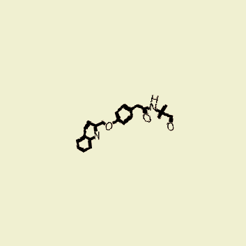 CC(C)(C=O)NC(=O)Cc1ccc(OCc2ccc3ccccc3n2)cc1